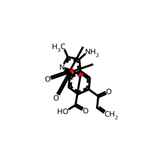 C=CC(=O)c1ccc2c3c(N)c(C)n2C(=O)C(=O)C(C(=O)O)Oc13